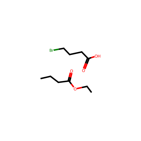 CCCC(=O)OCC.O=C(O)CCCBr